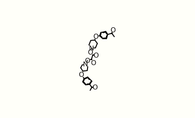 CC(=O)c1ccc(OC2CCN(OC(=O)C(=O)ON3CCC(Oc4ccc(C(C)=O)cc4)CC3)CC2)cc1